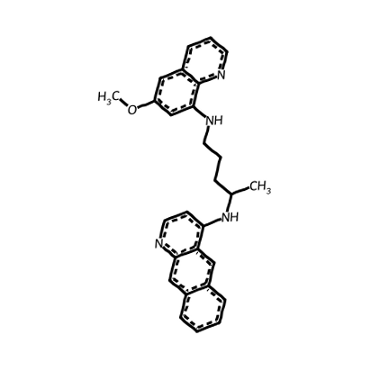 COc1cc(NCCCC(C)Nc2ccnc3cc4ccccc4cc23)c2ncccc2c1